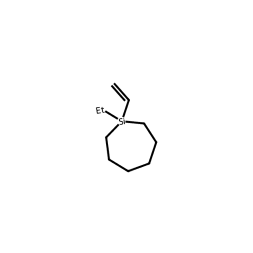 C=C[Si]1(CC)CCCCCC1